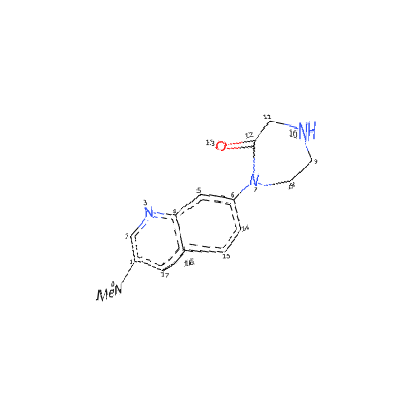 CNc1cnc2cc(N3CCNCC3=O)ccc2c1